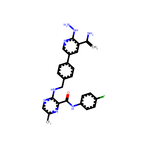 C=C(N)c1cc(-c2ccc(CNc3ncc(C(F)(F)F)nc3C(=O)Nc3ccc(F)cc3)cc2)cnc1NN